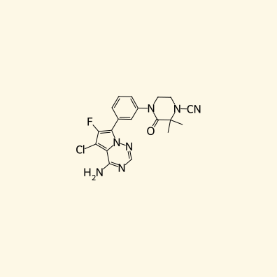 CC1(C)C(=O)N(c2cccc(-c3c(F)c(Cl)c4c(N)ncnn34)c2)CCN1C#N